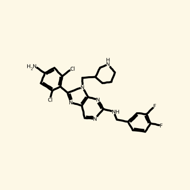 Nc1cc(Cl)c(-c2nc3cnc(NCc4ccc(F)c(F)c4)nc3n2CC2CCCNC2)c(Cl)c1